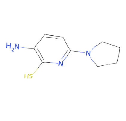 Nc1ccc(N2CCCC2)nc1S